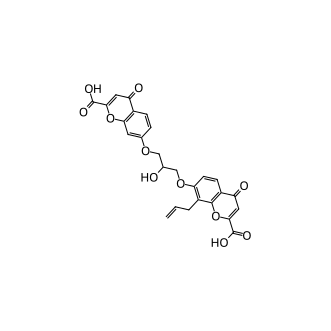 C=CCc1c(OCC(O)COc2ccc3c(=O)cc(C(=O)O)oc3c2)ccc2c(=O)cc(C(=O)O)oc12